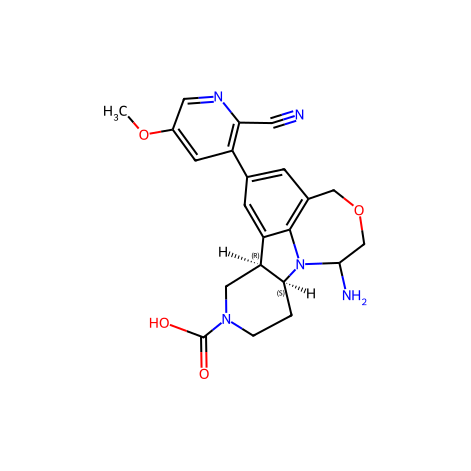 COc1cnc(C#N)c(-c2cc3c4c(c2)[C@@H]2CN(C(=O)O)CC[C@@H]2N4C(N)COC3)c1